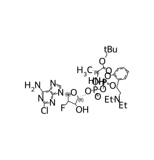 CCN(CC)CCc1ccccc1OP(=O)(N[C@H](C)C(=O)OCC(C)(C)C)OP(=O)(O)OC[C@H]1O[C@@H](n2cnc3c(N)nc(Cl)nc32)C(F)C1O